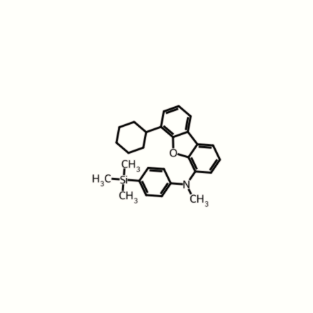 CN(c1ccc([Si](C)(C)C)cc1)c1cccc2c1oc1c(C3CCCCC3)cccc12